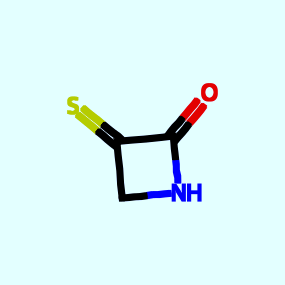 O=C1NCC1=S